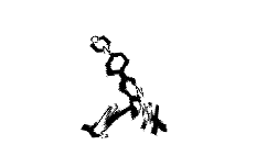 Cc1csc(-c2cn([Si](C)(C)C(C)(C)C)c3ncc(C4CCC(N5CCOCC5)CC4)cc23)n1